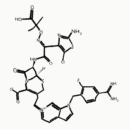 CC(C)(ON=C(C(=O)N[C@@H]1C(=O)N2C(C(=O)[O-])=C(C[n+]3ccc4ccn(Cc5ccc(C(=N)N)cc5F)c4c3)CS[C@H]12)c1nc(N)sc1Cl)C(=O)O